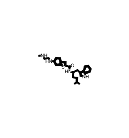 CNCCNc1ccc2cc(C(=O)NC(CC=C(C)C)Cc3c[nH]c4ccccc34)sc2c1